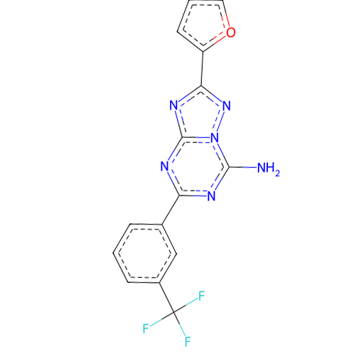 Nc1nc(-c2cccc(C(F)(F)F)c2)nc2nc(-c3ccco3)nn12